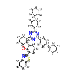 c1ccc(-c2ccc(-c3nc(-c4ccc(-c5ccccc5)cc4)nc(-c4cccc5oc6c(-c7nc8ccccc8s7)cccc6c45)n3)cc2)cc1